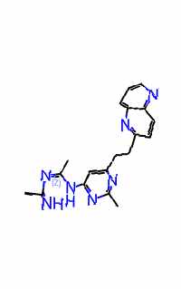 CC(=N)/N=C(/C)Nc1cc(CCc2ccc3ncccc3n2)nc(C)n1